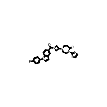 O=C(c1ccc2c(ccn2-c2ccc(F)cc2)c1)N1CC(N2CCC(=O)N(c3nccs3)CC2)C1